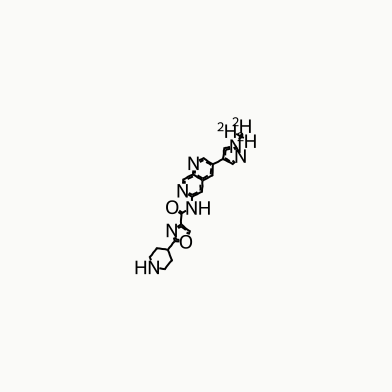 [2H]C([2H])([2H])n1cc(-c2cnc3cnc(NC(=O)c4coc(C5CCNCC5)n4)cc3c2)cn1